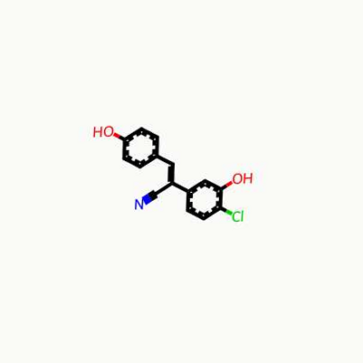 N#CC(=Cc1ccc(O)cc1)c1ccc(Cl)c(O)c1